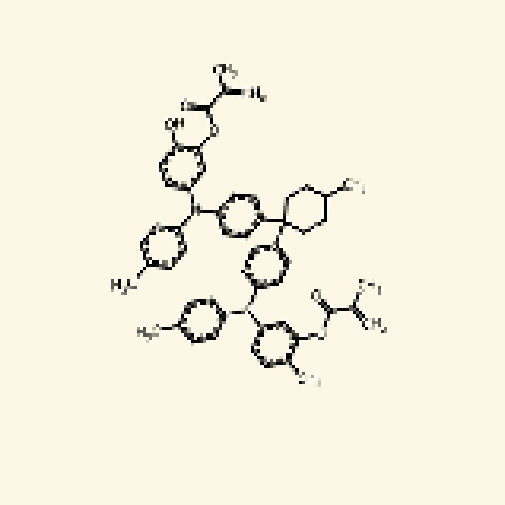 C=C(C)C(=O)Oc1cc(N(c2ccc(C)cc2)c2ccc(C3(c4ccc(N(c5ccc(C)cc5)c5ccc(O)c(OC(=O)C(=C)C)c5)cc4)CCC(C)CC3)cc2)ccc1C